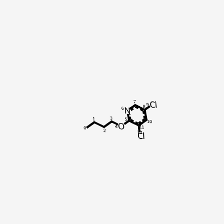 CCCCOc1ncc(Cl)cc1Cl